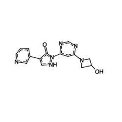 O=c1c(-c2cccnc2)c[nH]n1-c1cc(N2CC(O)C2)ncn1